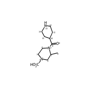 CC1CN(C(=O)O)CCN1C(=O)C1CCNCC1